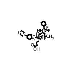 CC(C)(F)CC(N[C@@H](c1ccccc1)C(F)(F)F)C(=O)N[C@@H](CCCC(=O)O)CNc1ccc(N2CCOCC2)cc1